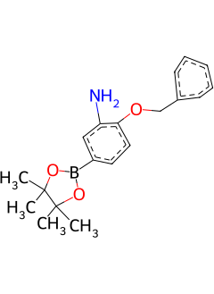 CC1(C)OB(c2ccc(OCc3ccccc3)c(N)c2)OC1(C)C